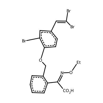 CCON=C(C(=O)O)c1ccccc1COc1ccc(C=C(Br)Br)cc1Br